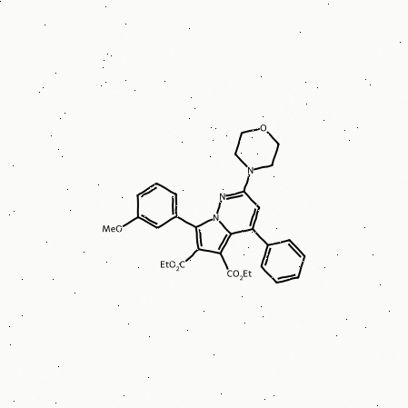 CCOC(=O)c1c(C(=O)OCC)c2c(-c3ccccc3)cc(N3CCOCC3)nn2c1-c1cccc(OC)c1